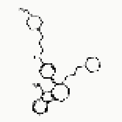 CN1CCN(CCCNC2=CC/C(=C3\c4c(N)c5ccccc5n4CCCN3CCCN3CCOCC3)C=C2)CC1